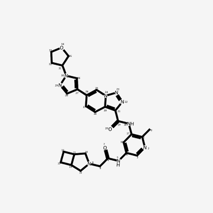 Cc1ncc(NC(=O)CN2CC3CCC3C2)cc1NC(=O)c1nnn2cc(-c3cnn(C4CCOC4)c3)ccc12